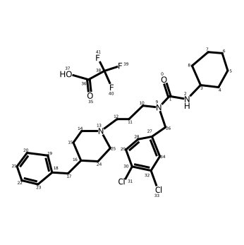 O=C(NC1CCCCC1)N(CCCN1CCC(Cc2ccccc2)CC1)Cc1ccc(Cl)c(Cl)c1.O=C(O)C(F)(F)F